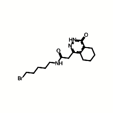 O=C(Cc1n[nH]c(=O)c2c1CCCC2)NCCCCCBr